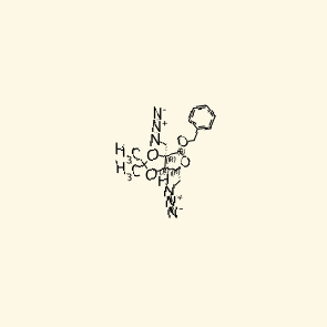 CC1(C)O[C@@H]2[C@@H](CN=[N+]=[N-])O[C@@H](OCc3ccccc3)[C@]2(CN=[N+]=[N-])O1